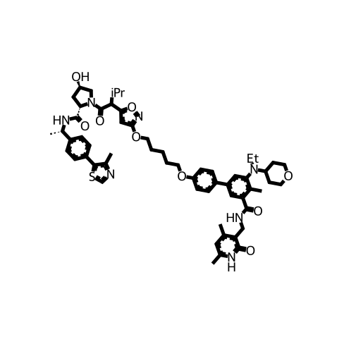 CCN(c1cc(-c2ccc(OCCCCCOc3cc(C(C(=O)N4C[C@H](O)C[C@H]4C(=O)N[C@@H](C)c4ccc(-c5scnc5C)cc4)C(C)C)on3)cc2)cc(C(=O)NCc2c(C)cc(C)[nH]c2=O)c1C)C1CCOCC1